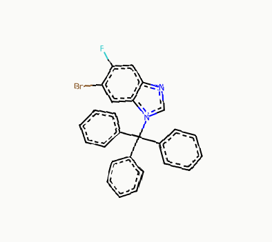 Fc1cc2ncn(C(c3ccccc3)(c3ccccc3)c3ccccc3)c2cc1Br